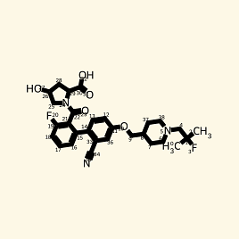 CC(C)(F)CN1CCC(COc2ccc(-c3cccc(F)c3C(=O)N3CC(O)CC3C(=O)O)c(C#N)c2)CC1